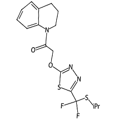 CC(C)SC(F)(F)c1nnc(OCC(=O)N2CCCc3ccccc32)s1